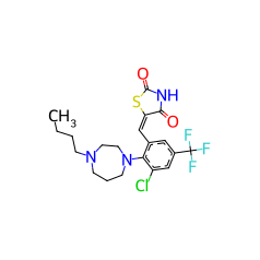 CCCCN1CCCN(c2c(Cl)cc(C(F)(F)F)cc2/C=C2/SC(=O)NC2=O)CC1